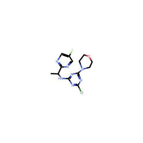 CC(Nc1nc(Cl)nc(N2CCOCC2)n1)c1ncc(F)cn1